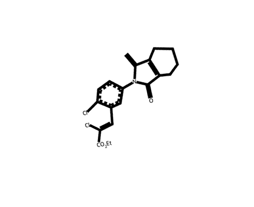 C=C1C2=C(CCCC2)C(=O)N1c1ccc(Cl)c(/C=C(\Cl)C(=O)OCC)c1